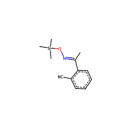 CC(=NO[Si](C)(C)C)c1ccccc1C#N